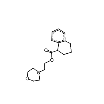 O=C(OCCN1CCOCC1)C1CCCc2ccccc21